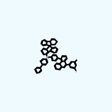 Cc1cc(I)cc(-c2cc3ccccc3c3c(-c4ccc(N(c5ccc(-c6ccccc6)cc5)c5cccc6c5-c5ccccc5C65c6ccccc6C6C=CCCC65)cc4)cccc23)c1